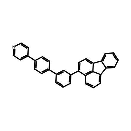 c1cc(-c2ccc(-c3ccncc3)cc2)cc(-c2ccc3c4c(cccc24)-c2ccccc2-3)c1